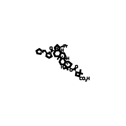 CC(C)[C@@H]1CC[C@]2(C(=O)N3CCC[C@H]3CN3CCCC3)CC[C@]3(C)[C@H](CC[C@@H]4[C@@]5(C)CC[C@H](OC(=O)[C@H]6C[C@@H](C(=O)O)C6(C)C)C(C)(C)[C@@H]5CC[C@]43C)[C@@H]12